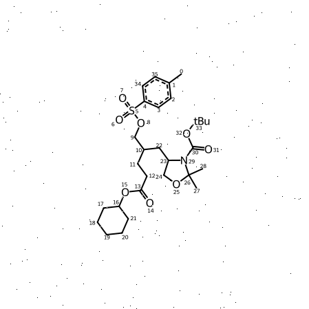 Cc1ccc(S(=O)(=O)OCC(CCC(=O)OC2CCCCC2)CC2COC(C)(C)N2C(=O)OC(C)(C)C)cc1